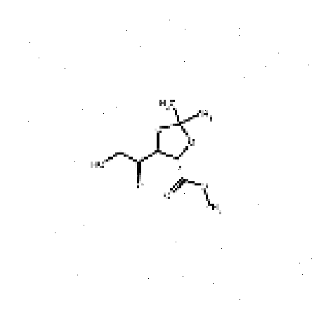 COC(=O)[C@H]1OC(C)(C)OC1C(=O)CO